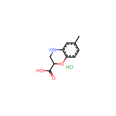 Cc1ccc2c(c1)NCC(C(=O)O)O2.Cl